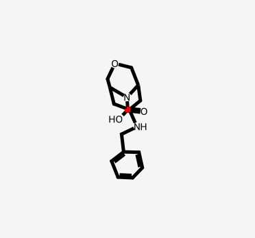 O=C(O)N1C2COCC1CC(NCc1ccccc1)C2